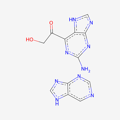 Nc1nc(C(=O)CO)c2[nH]cnc2n1.c1ncc2[nH]cnc2n1